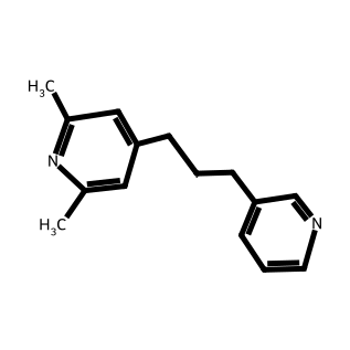 Cc1cc(C[CH]Cc2cccnc2)cc(C)n1